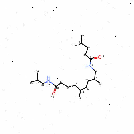 CC(C)CCC(=O)NCC(C)CCC(C)CCCC(=O)NCC(C)C